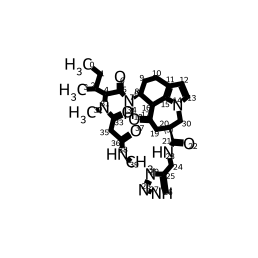 CCC(C)C(C(=O)N[C@H]1CCc2ccn3c2C1C(=O)C[C@H](C(=O)NCc1c[nH]nn1)C3)N(C)C(=O)CC(=O)NC